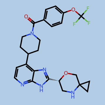 O=C(c1ccc(OC(F)(F)F)cc1)N1CCC(c2ccnc3[nH]c([C@H]4CNC5(CC5)CO4)nc23)CC1